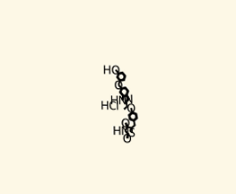 CC(Oc1ccc(CC2SC(=O)NC2=O)cc1)c1nc2ccc(Oc3cccc(O)c3)cc2[nH]1.Cl